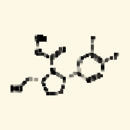 CC(C)(C)OC(=O)N1[C@@H](CO)CC[C@H]1c1ccc(F)c(F)c1